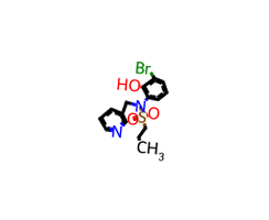 CCCS(=O)(=O)N(Cc1cccnc1)c1cccc(Br)c1O